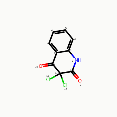 O=C1Nc2ccccc2C(=O)C1(Cl)Cl